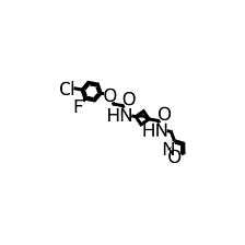 O=C(COc1ccc(Cl)c(F)c1)NC12CC(C(=O)NCc3ccon3)(C1)C2